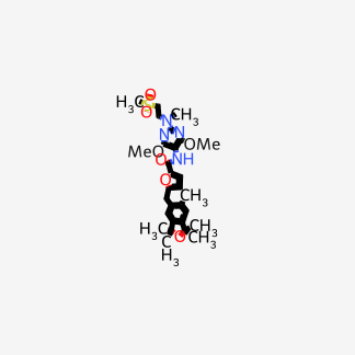 COc1nc(N(C)CCS(C)(=O)=O)nc(OC)c1NC(=O)c1ccc(Cc2cc3c(cc2C)C(C)(C)OC3(C)C)o1